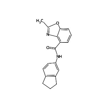 Cc1nc2c(C(=O)Nc3ccc4c(c3)CCC4)cccc2o1